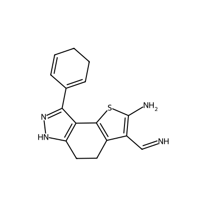 N=Cc1c(N)sc2c1CCc1[nH]nc(C3=CCCC=C3)c1-2